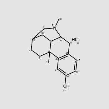 CN1CC2CCC3(C)c4cc(O)ccc4CC1C3C2.Cl